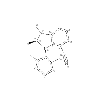 Cc1cccc(C)c1N1c2c(C#N)cccc2N(C)[C@@H]1C